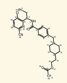 CC(C)CN(NC(=O)c1ccc(CN2CCC(CCOC(=O)C(F)(F)F)CC2)cc1)c1nc(C#N)ncc1Cl